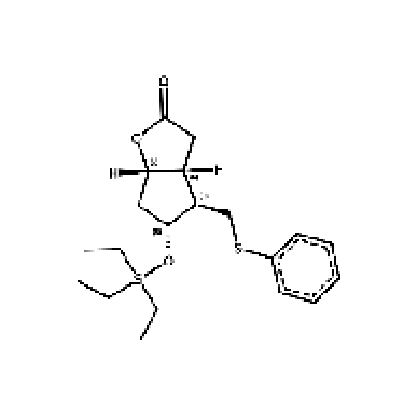 CC[Si](CC)(CC)O[C@@H]1C[C@@H]2OC(=O)C[C@@H]2[C@H]1CSc1ccccc1